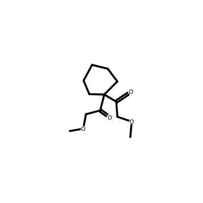 COCC(=O)C1(C(=O)COC)CCCCC1